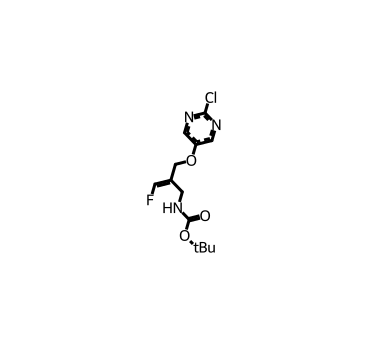 CC(C)(C)OC(=O)NC/C(=C\F)COc1cnc(Cl)nc1